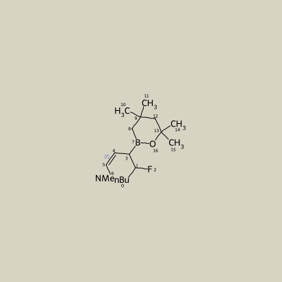 CCCCC(F)C(/C=C\NC)B1CC(C)(C)CC(C)(C)O1